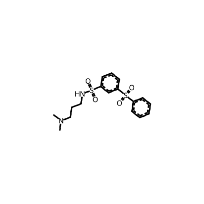 CN(C)CCCNS(=O)(=O)c1cccc(S(=O)(=O)c2ccccc2)c1